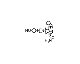 NC(=O)Cn1cnc2c(-n3ncc4ccccc43)nc(N3CCN(c4ccc(O)cc4)CC3)nc21